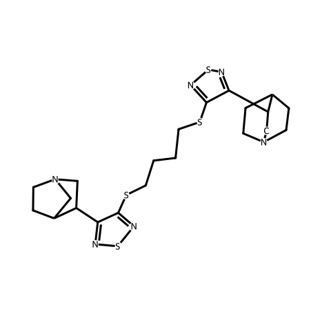 C(CCSc1nsnc1C1CN2CCC1C2)CSc1nsnc1C1CN2CCC1CC2